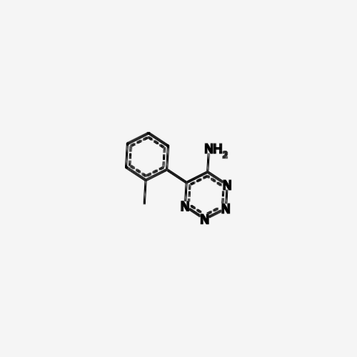 Cc1ccccc1-c1nnnnc1N